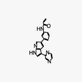 C=CC(=O)Nc1cccc(-c2cnc3[nH]cc(-c4cnccn4)c3c2)c1